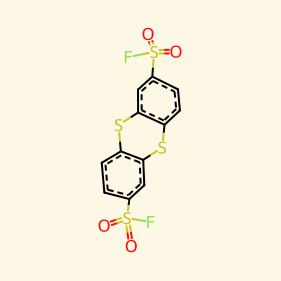 O=S(=O)(F)c1ccc2c(c1)Sc1ccc(S(=O)(=O)F)cc1S2